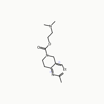 C=C(C)/N=C1/CCN(C(=O)OCCN(C)C)C/C1=C/CC